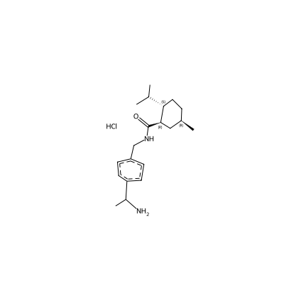 CC(N)c1ccc(CNC(=O)[C@@H]2C[C@H](C)CC[C@H]2C(C)C)cc1.Cl